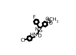 CS(=O)(=O)c1ccc(-c2sc(C(=O)NCc3ccc(Cl)cc3)nc2-c2ccc(F)cc2)cc1